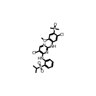 COc1cc(P(C)(C)=O)c(Cl)cc1Nc1ncc(Cl)c(Nc2ccccc2S(=O)(=O)C(C)C)n1